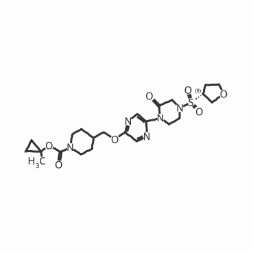 CC1(OC(=O)N2CCC(COc3cnc(N4CCN(S(=O)(=O)[C@@H]5CCOC5)CC4=O)cn3)CC2)CC1